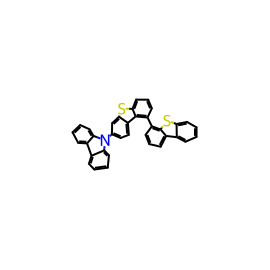 c1ccc2c(c1)sc1c(-c3cccc4sc5cc(-n6c7ccccc7c7ccccc76)ccc5c34)cccc12